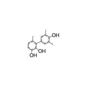 Cc1cc(-c2c(C)ccc(O)c2O)cc(C)c1O